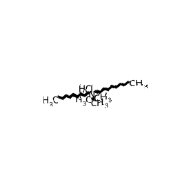 CCCCCCCCCCN(CCCCCCCCCC)C(C)(C)C.Cl